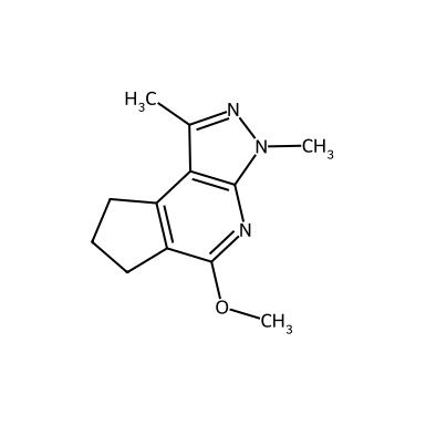 COc1nc2c(c(C)nn2C)c2c1CCC2